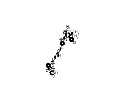 CC1=C(C)C2C(c3ccc(Cl)cc3)=N[C@@H](CC(=O)Nc3ccc(OCCOCCNCCOCCNc4cccc5c4C(=O)N(C4CCC(=O)NC4=O)C5=O)cc3)c3nnc(C)n3C2S1